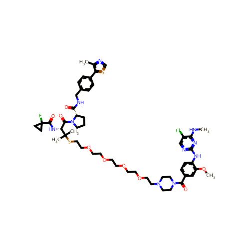 CNc1nc(Nc2ccc(C(=O)N3CCN(CCOCCOCCOCCOCCSC(C)(C)[C@H](NC(=O)C4(F)CC4)C(=O)N4CCC[C@H]4C(=O)NCc4ccc(-c5scnc5C)cc4)CC3)cc2OC)ncc1Cl